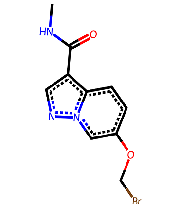 CNC(=O)c1cnn2cc(OCBr)ccc12